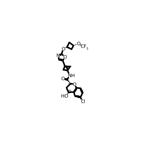 O=C(NC12CC(c3cnc(O[C@H]4C[C@@H](OC(F)(F)F)C4)o3)(C1)C2)[C@@H]1C[C@@H](O)c2cc(Cl)ccc2O1